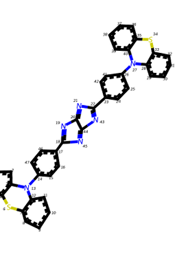 c1ccc2c(c1)Sc1ccccc1N2c1ccc(C2=NC3=NC(c4ccc(N5c6ccccc6Sc6ccccc65)cc4)=NC3=N2)cc1